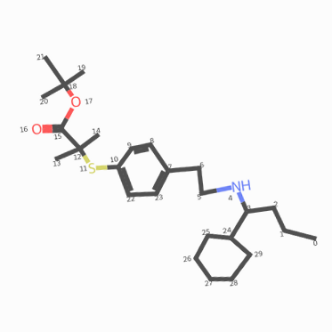 CCCC(NCCc1ccc(SC(C)(C)C(=O)OC(C)(C)C)cc1)C1CCCCC1